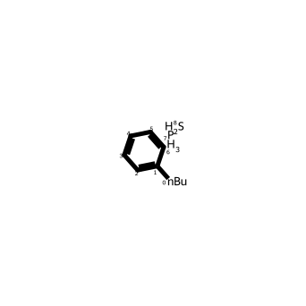 CCCCc1ccccc1.P.S